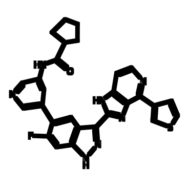 O=C(Nc1cncc(-c2cc3c(-c4nc5c(-c6ccsc6)nccc5[nH]4)n[nH]c3cc2F)c1)C1CCCC1